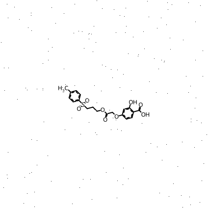 Cc1ccc(S(=O)(=O)CCCOC(=O)COc2ccc(C(=O)O)c(O)c2)cc1